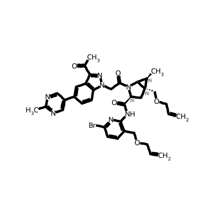 C=CCOCc1ccc(Br)nc1NC(=O)[C@@H]1C[C@@]2(COCC=C)C([C@H]2C)N1C(=O)Cn1nc(C(C)=O)c2cc(-c3cnc(C)nc3)ccc21